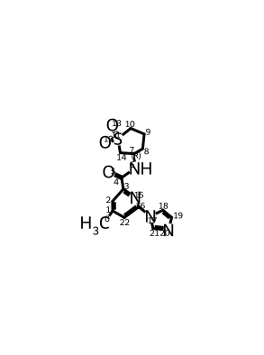 Cc1cc(C(=O)N[C@@H]2CCCS(=O)(=O)C2)nc(-n2ccnc2)c1